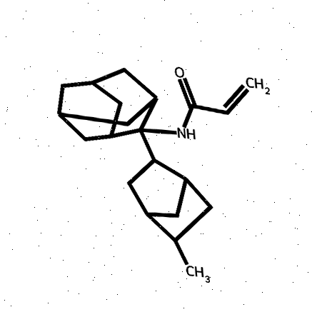 C=CC(=O)NC1(C2CC3CC2CC3C)C2CC3CC(C2)CC1C3